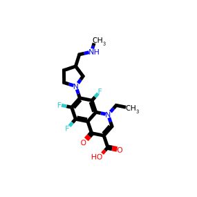 CCn1cc(C(=O)O)c(=O)c2c(F)c(F)c(N3CCC(CNC)C3)c(F)c21